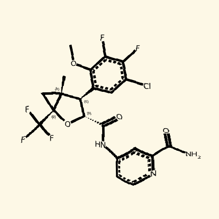 COc1c([C@H]2[C@H](C(=O)Nc3ccnc(C(N)=O)c3)O[C@]3(C(F)(F)F)C[C@]23C)cc(Cl)c(F)c1F